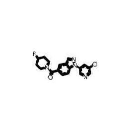 O=C(c1ccc2c(cnn2-c2cncc(Cl)c2)c1)N1CCC(F)CC1